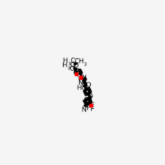 CC(C)(C)OC(=O)N1CCN(c2cnc(C(=O)N[C@H]3CC[C@H](Oc4ccc(C#N)c(C(F)(F)F)c4)CC3)cn2)CC1